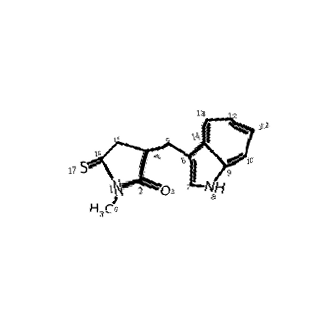 CN1C(=O)C(Cc2c[nH]c3ccccc23)CC1=S